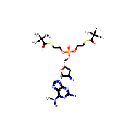 CN(C)c1nc(N)nc2c1ncn2[C@@H]1O[C@H](COP(=O)(OCCSC(=O)C(C)(C)C)OCCSC(=O)C(C)(C)C)CC1=N